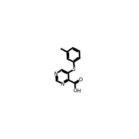 Cc1cccc(Sc2cncnc2C(=O)O)c1